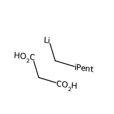 O=C(O)CC(=O)O.[Li][CH2]C(C)CCC